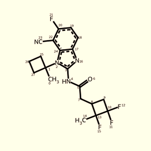 CC1(n2c(NC(=O)CC3CC(F)(F)C3(C)F)nc3ccc(F)c(C#N)c32)CCC1